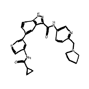 O=C(Nc1ccc(CN2CCCC2)nc1)c1n[nH]c2ccc(-c3cncc(NC(=O)C4CC4)c3)cc12